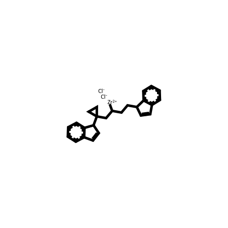 [Cl-].[Cl-].[Zr+2][CH](CCC1C=Cc2ccccc21)CC1(C2C=Cc3ccccc32)CC1